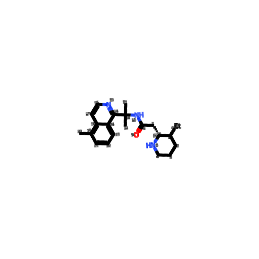 CCC1CCCN[C@@H]1CC(=O)NC(C)(C)c1nccc2c(C)cccc12